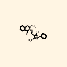 Cc1nn(-c2ccccc2)c(Cl)c1C=Nn1c(C)nc2ccccc2c1=O